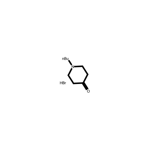 Br.CCCCN1CCC(=O)CC1